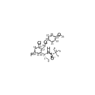 CC[C@@H](N[S@+]([O-])C(C)(C)C)c1cc(F)cc(Cl)c1COc1ccc(OC)cc1